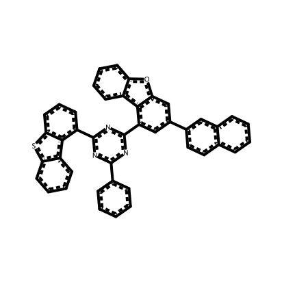 c1ccc(-c2nc(-c3cc(-c4ccc5ccccc5c4)cc4oc5ccccc5c34)nc(-c3cccc4sc5ccccc5c34)n2)cc1